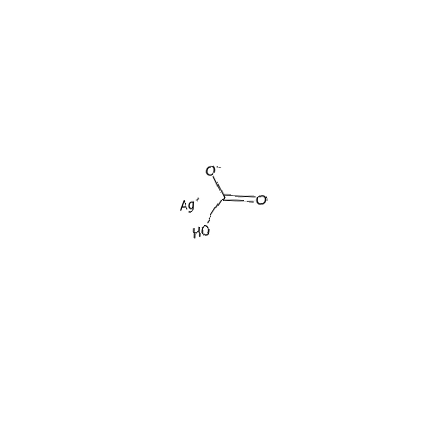 O=C([O-])O.[Ag+]